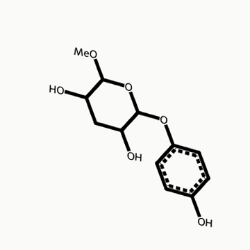 COC1OC(Oc2ccc(O)cc2)C(O)CC1O